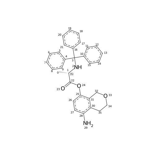 C[C@H](NC(c1ccccc1)(c1ccccc1)c1ccccc1)C(=O)Oc1ccc(N)c2c1COCC2